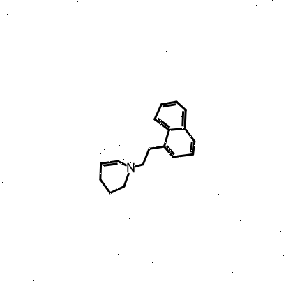 C1=CN(CCc2cccc3ccccc23)CCC1